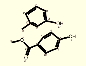 COC(=O)c1ccc(O)cc1.Cc1cccc(O)c1